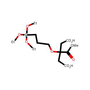 CCO[Si](CCCOC(CC(=O)O)(CC(=O)O)C(=O)OC)(OCC)OCC